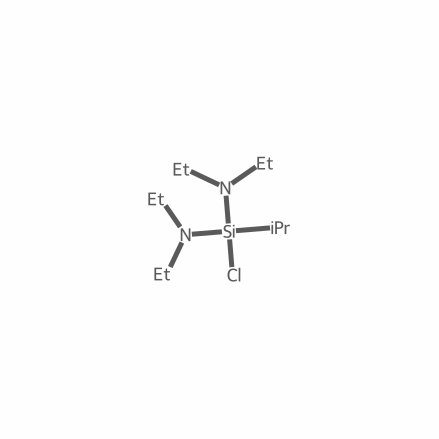 CCN(CC)[Si](Cl)(C(C)C)N(CC)CC